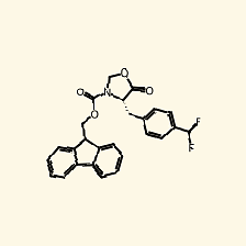 O=C1OCN(C(=O)OCC2c3ccccc3-c3ccccc32)[C@H]1Cc1ccc(C(F)F)cc1